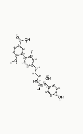 COc1ccc(C(=O)O)cc1-c1ccc(OCCN[C@H](C)[C@H](O)c2ccc(O)cc2)cc1C